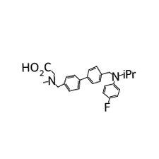 CC(C)N(Cc1ccc(-c2ccc(CN(C)CC(=O)O)cc2)cc1)c1ccc(F)cc1